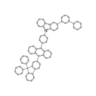 c1ccc(-c2cccc(-c3ccc4c(c3)c3ccccc3n4-c3ccc(-c4c5ccccc5c(-c5ccc6c(c5)C(c5ccccc5)(c5ccccc5)c5ccccc5-6)c5ccccc45)cc3)c2)cc1